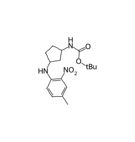 Cc1ccc(NC2CCC(NC(=O)OC(C)(C)C)C2)c([N+](=O)[O-])c1